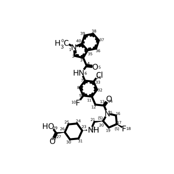 Cn1cc(C(=O)Nc2cc(F)c(CC(=O)N3C[C@@H](F)C[C@H]3CN[C@H]3CC[C@H](C(=O)O)CC3)cc2Cl)c2ccccc21